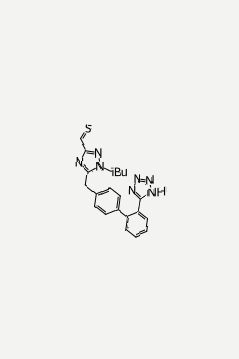 CCC(C)n1nc(C=S)nc1Cc1ccc(-c2ccccc2-c2nnn[nH]2)cc1